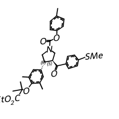 CCOC(=O)C(C)(C)Oc1c(C)cc([C@@H]2CN(C(=O)Oc3ccc(C)cc3)C[C@H]2C(=O)c2ccc(SC)cc2)cc1C